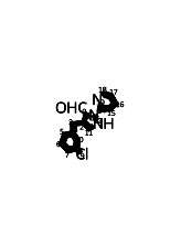 O=CC1C(Cc2cccc(Cl)c2)=CNN1c1ccccn1